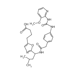 COc1cccnc1NC(=O)Nc1ccc(CC(=O)NC(CC(C)C)c2ncc(CCCC(=O)O)o2)cc1